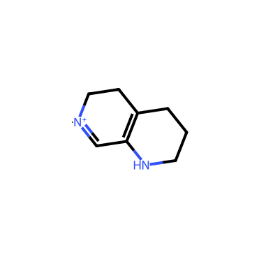 C1=[N+]CCC2=C1NCCC2